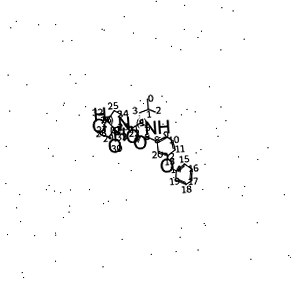 CC(C)C[C@H](NC(=O)c1cccc(Oc2ccccc2)c1)C(=O)N1CC[C@H]2OCC(=O)[C@H]21